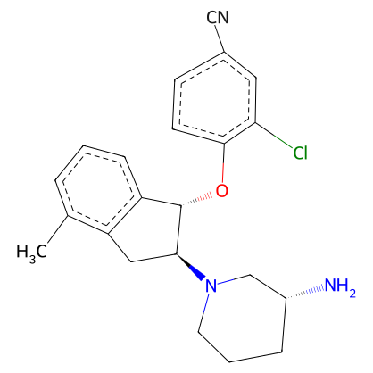 Cc1cccc2c1C[C@H](N1CCC[C@@H](N)C1)[C@H]2Oc1ccc(C#N)cc1Cl